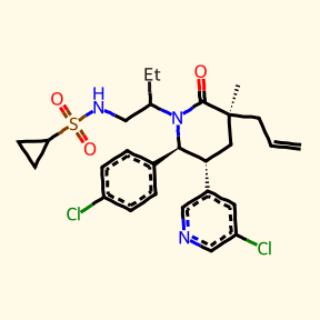 C=CC[C@@]1(C)C[C@H](c2cncc(Cl)c2)[C@@H](c2ccc(Cl)cc2)N(C(CC)CNS(=O)(=O)C2CC2)C1=O